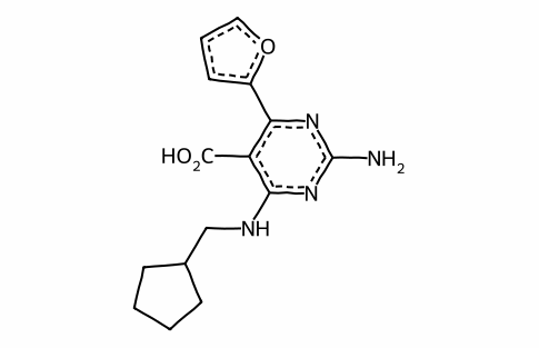 Nc1nc(NCC2CCCC2)c(C(=O)O)c(-c2ccco2)n1